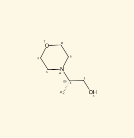 C[C@@H](CO)N1CCOCC1